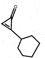 O=c1cc1C1CCCCC1